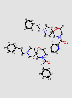 CC1CN(C(=O)c2ccccn2)CC2(CCN(CCc3ccccc3)CC2)O1.O=C(Cc1ccccc1)N1CCOC2(CCN(CCc3ccccc3)CC2)C1